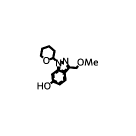 COCc1nn(C2CCCCO2)c2cc(O)ccc12